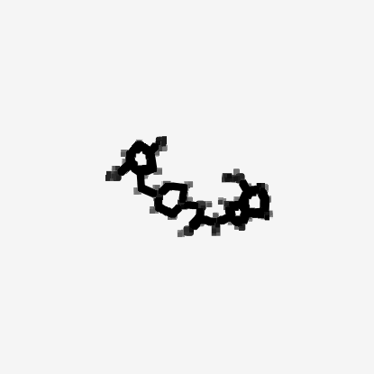 COc1ncnc2sc(NC(=O)ON3CCN(Cc4cc(Cl)ccc4O)CC3)nc12